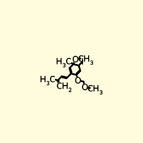 C=C(C)C=CC1=CC(C)(OC)C(I)C=C1OCOC